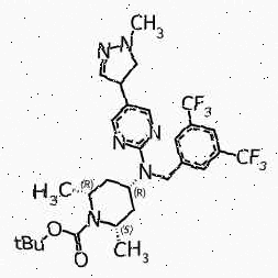 C[C@@H]1C[C@H](N(Cc2cc(C(F)(F)F)cc(C(F)(F)F)c2)c2ncc(C3C=NN(C)C3)cn2)C[C@H](C)N1C(=O)OC(C)(C)C